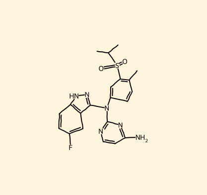 Cc1ccc(N(c2nccc(N)n2)c2n[nH]c3ccc(F)cc23)cc1S(=O)(=O)C(C)C